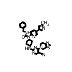 Cn1cc(-c2ccc(N(C(=O)NCc3ccccc3)[C@H]3CC[C@H](Nc4ncc(C#N)c(N5CCc6ncsc6C5)n4)CC3)nc2)cn1